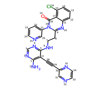 Nc1ncnc(NCCc2nc3cccc(Cl)c3c(=O)n2-c2cccnc2)c1C#Cc1cnccn1